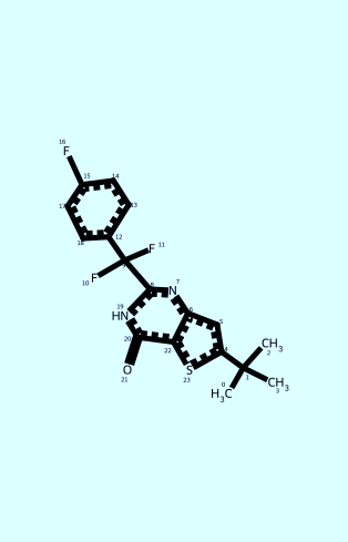 CC(C)(C)c1cc2nc(C(F)(F)c3ccc(F)cc3)[nH]c(=O)c2s1